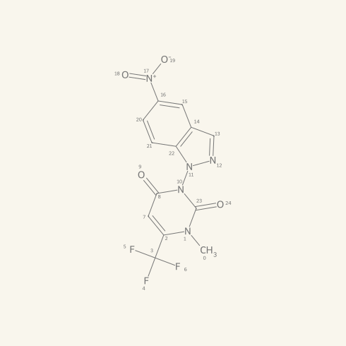 Cn1c(C(F)(F)F)cc(=O)n(-n2ncc3cc([N+](=O)[O-])ccc32)c1=O